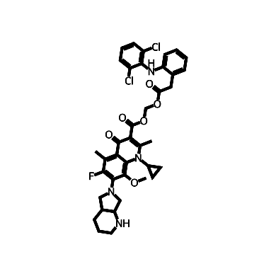 COc1c(N2CC3CCCNC3C2)c(F)c(C)c2c(=O)c(C(=O)OCOC(=O)Cc3ccccc3Nc3c(Cl)cccc3Cl)c(C)n(C3CC3)c12